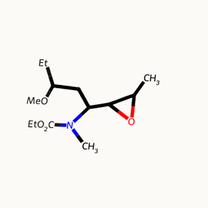 CCOC(=O)N(C)C(CC(CC)OC)C1OC1C